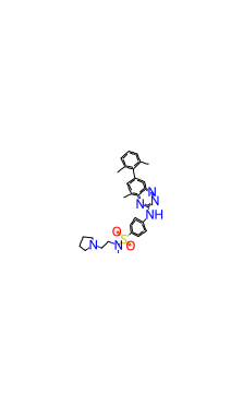 Cc1cccc(C)c1-c1cc(C)c2nc(Nc3ccc(S(=O)(=O)N(C)CCN4CCCC4)cc3)nnc2c1